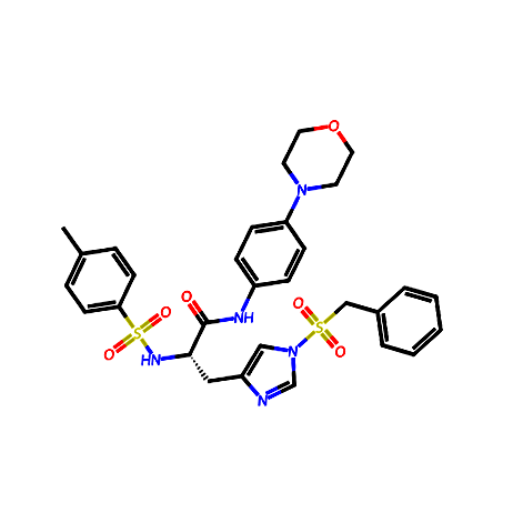 Cc1ccc(S(=O)(=O)N[C@@H](Cc2cn(S(=O)(=O)Cc3ccccc3)cn2)C(=O)Nc2ccc(N3CCOCC3)cc2)cc1